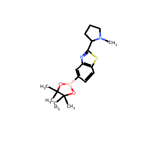 CN1CCCC1c1nc2cc(B3OC(C)(C)C(C)(C)O3)ccc2s1